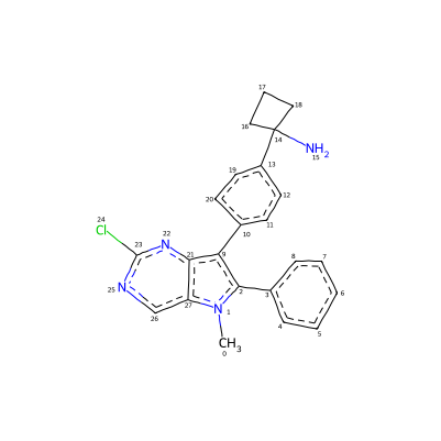 Cn1c(-c2ccccc2)c(-c2ccc(C3(N)CCC3)cc2)c2nc(Cl)ncc21